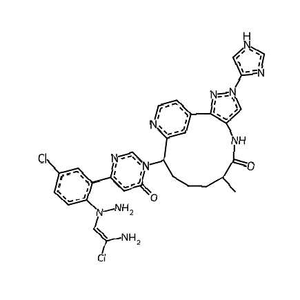 CC1CCCC(n2cnc(-c3cc(Cl)ccc3N(N)/C=C(\N)Cl)cc2=O)c2cc(ccn2)-c2nn(-c3c[nH]cn3)cc2NC1=O